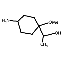 COC1(C(C)O)CCC(N)CC1